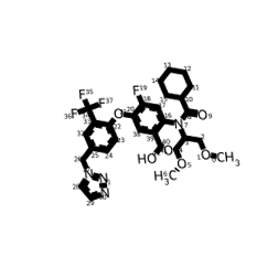 COCC(COC)N(C(=O)C1CCCCC1)c1cc(F)c(Oc2ccc(Cn3ccnn3)cc2C(F)(F)F)cc1C(=O)O